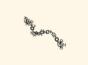 C[C@@H](NC(=O)c1noc(C(C)(C)C)n1)c1ccc(-c2ncnc3[nH]c(-c4ccc(N5CCN(CC6CCN(c7ccc(N8CCC(=O)NC8=O)cc7)CC6)CC5)nc4)cc23)cc1F